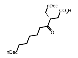 CCCCCCCCCCCCCCCC(=O)[C@H](CCCCCCCCCCC)CC(=O)O